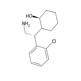 NC[C@@H](c1ccccc1Cl)C1CCCC[C@@H]1O